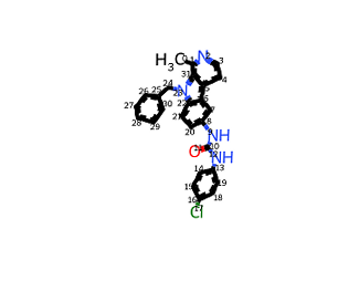 Cc1nccc2c3cc(NC(=O)Nc4ccc(Cl)cc4)ccc3n(Cc3ccccc3)c12